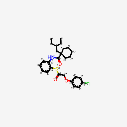 CCC(CC)CC1(C(=O)Nc2ccccc2SC(=O)COc2ccc(Cl)cc2)CCCCC1